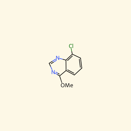 COc1ncnc2c(Cl)cccc12